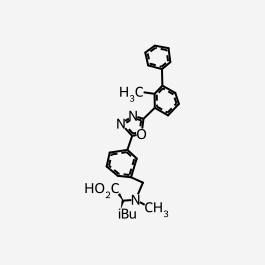 CC[C@H](C)[C@@H](C(=O)O)N(C)Cc1cccc(-c2nnc(-c3cccc(-c4ccccc4)c3C)o2)c1